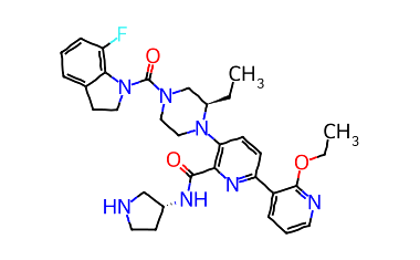 CCOc1ncccc1-c1ccc(N2CCN(C(=O)N3CCc4cccc(F)c43)C[C@H]2CC)c(C(=O)N[C@@H]2CCNC2)n1